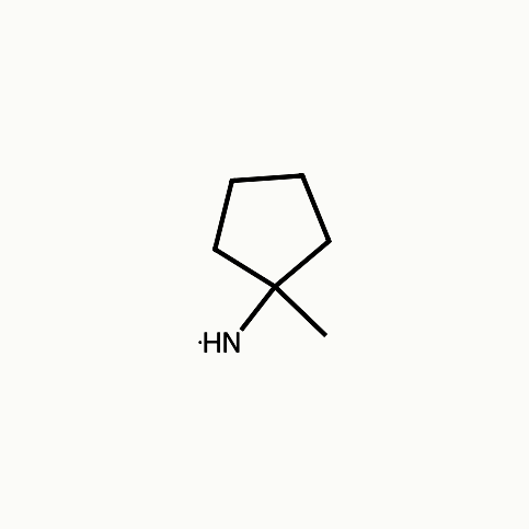 CC1([NH])CCCC1